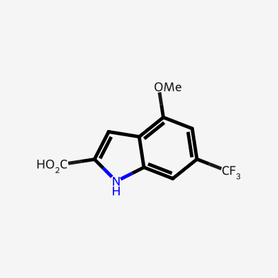 COc1cc(C(F)(F)F)cc2[nH]c(C(=O)O)cc12